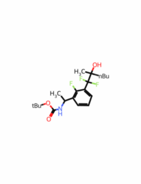 CCCCC(C)(O)C(F)(F)c1cccc(C(C)NC(=O)OC(C)(C)C)c1F